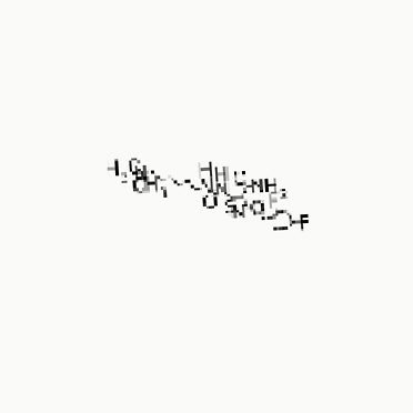 CN(C)CCCCCCNC(=O)Nc1snc(OCc2ccc(F)cc2F)c1C(N)=O